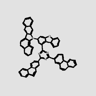 c1ccc2cc3c(cc2c1)c1ccc2ccccc2c1n3-c1cc(-c2nc(-c3ccc4c(ccc5ccccc54)c3)nc(-c3ccc4c(ccc5ccccc54)c3)n2)c2c(c1)oc1ccccc12